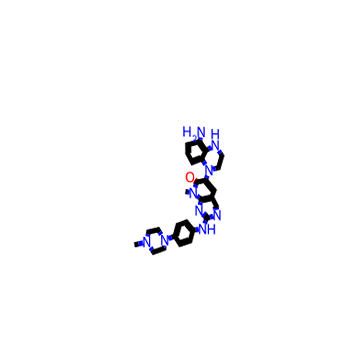 CN1CCN(c2ccc(Nc3ncc4cc(N5CCNc6c(N)cccc65)c(=O)n(C)c4n3)cc2)CC1